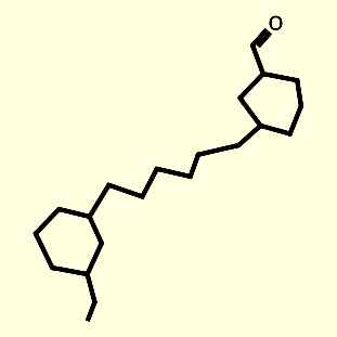 CCC1CCCC(CCCCCCC2CCCC(C=O)C2)C1